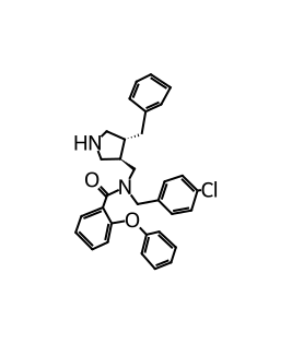 O=C(c1ccccc1Oc1ccccc1)N(Cc1ccc(Cl)cc1)C[C@H]1CNC[C@@H]1Cc1ccccc1